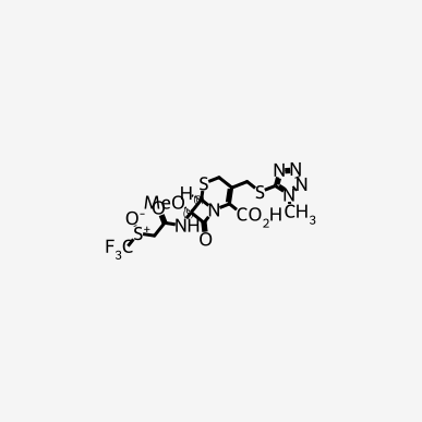 CO[C@@]1(NC(=O)C[S+]([O-])C(F)(F)F)C(=O)N2C(C(=O)O)=C(CSc3nnnn3C)CS[C@@H]21